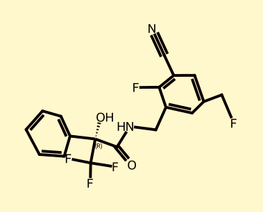 N#Cc1cc(CF)cc(CNC(=O)[C@](O)(c2ccccc2)C(F)(F)F)c1F